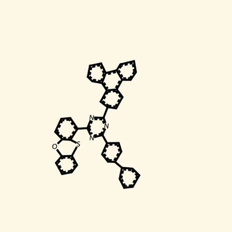 c1ccc(-c2ccc(-c3nc(-c4ccc5c6ccccc6c6ccccc6c5c4)nc(-c4cccc5c4Sc4ccccc4O5)n3)cc2)cc1